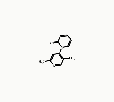 Cc1cc(-n2ccccc2=O)c(C)cn1